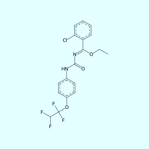 CCOC(=NC(=O)Nc1ccc(OC(F)(F)C(F)F)cc1)c1ccccc1Cl